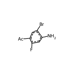 CC(=O)c1cc(Br)c(N)cc1F